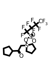 O=C(CS1(OS(=O)(=O)C(F)(F)C(F)(F)C(F)(F)C(F)(F)F)CCCC1)C1CCCC1